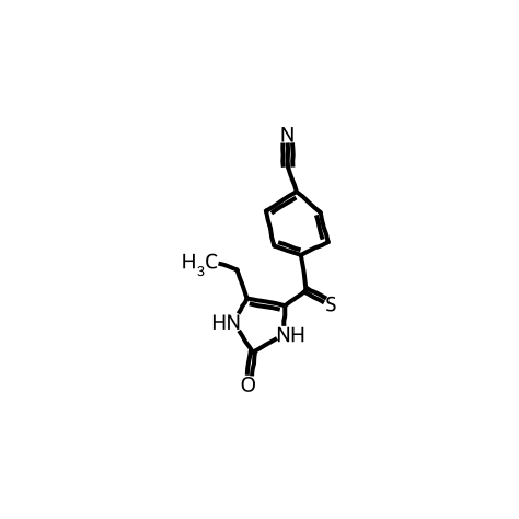 CCc1[nH]c(=O)[nH]c1C(=S)c1ccc(C#N)cc1